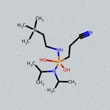 CC(C)N(C(C)C)P(O)(O)(CCC#N)NCC[Si](C)(C)C